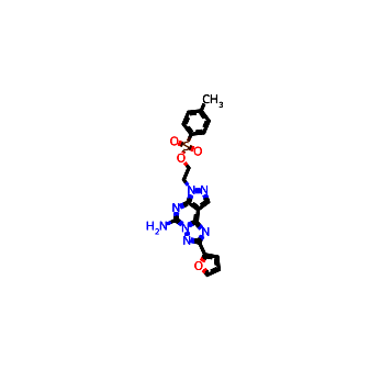 Cc1ccc(S(=O)(=O)OCCn2ncc3c2nc(N)n2nc(-c4ccco4)nc32)cc1